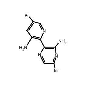 Nc1cc(Br)cnc1-c1ncc(Br)nc1N